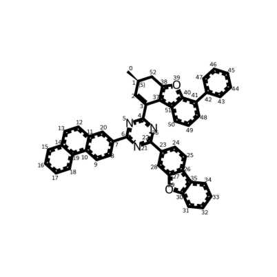 C[C@@H]1C=C(c2nc(-c3ccc4c(ccc5ccccc54)c3)nc(-c3ccc4c(c3)oc3ccccc34)n2)c2c(oc3c(-c4ccccc4)cccc23)C1